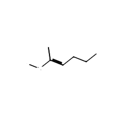 CCC/C=C(\C)NF